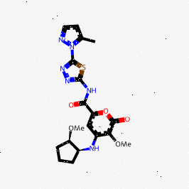 COc1c(N[C@H]2CCC[C@H]2OC)cc(C(=O)Nc2nnc(-n3nccc3C)s2)oc1=O